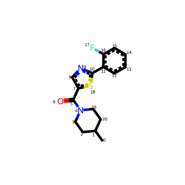 CC1CCN(C(=O)c2cnc(-c3ccccc3F)s2)CC1